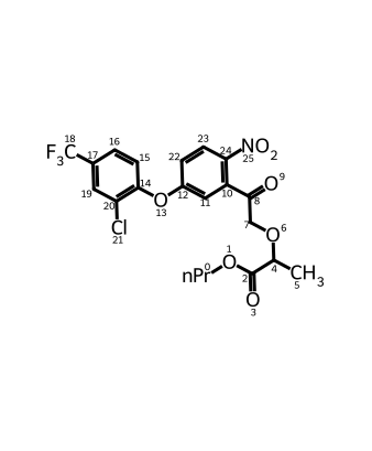 CCCOC(=O)C(C)OCC(=O)c1cc(Oc2ccc(C(F)(F)F)cc2Cl)ccc1[N+](=O)[O-]